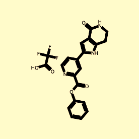 O=C(O)C(F)(F)F.O=C(Oc1ccccc1)c1cc(-c2cc3c([nH]2)CCNC3=O)ccn1